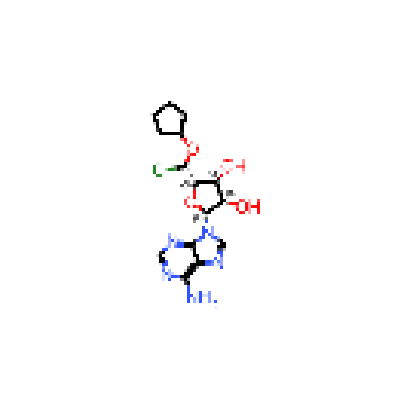 Nc1ncnc2c1ncn2[C@@H]1O[C@H](C(Cl)OC2CCCC2)[C@@H](O)[C@H]1O